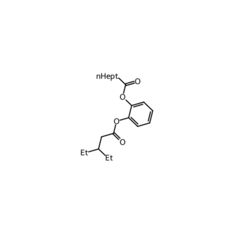 CCCCCCCC(=O)Oc1ccccc1OC(=O)CC(CC)CC